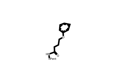 CCCCCNC(=O)CCCOc1cc[c]cc1